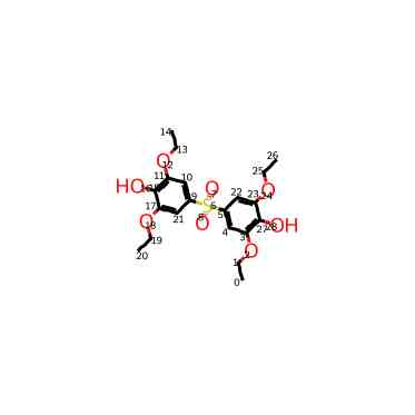 CCOc1cc(S(=O)(=O)c2cc(OCC)c(O)c(OCC)c2)cc(OCC)c1O